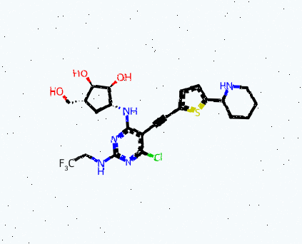 OC[C@H]1C[C@@H](Nc2nc(NCC(F)(F)F)nc(Cl)c2C#Cc2ccc(C3CCCCN3)s2)[C@H](O)[C@@H]1O